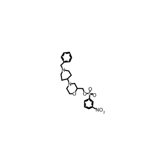 O=[N+]([O-])c1cccc(S(=O)(=O)OCC2CN(C3CCN(Cc4ccccc4)CC3)CCO2)c1